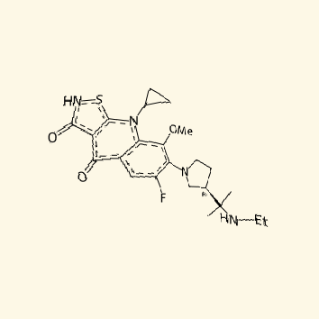 CCNC(C)(C)[C@@H]1CCN(c2c(F)cc3c(=O)c4c(=O)[nH]sc4n(C4CC4)c3c2OC)C1